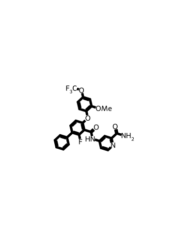 COc1cc(OC(F)(F)F)ccc1Oc1ccc(-c2ccccc2)c(F)c1C(=O)Nc1ccnc(C(N)=O)c1